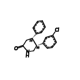 O=C1C[C@H](c2ccccc2)[C@H](c2cccc(Cl)c2)CN1